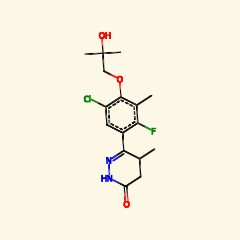 Cc1c(F)c(C2=NNC(=O)CC2C)cc(Cl)c1OCC(C)(C)O